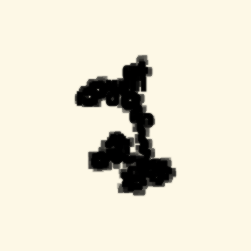 CC(C)[Si](OC(CCc1ccccc1)CC[C@@H]1[C@@H](CC=CCCCC(=O)OCc2ccc(C(CNC(=O)OC(C)(C)C)C(=O)Nc3ccc4cnccc4c3)cc2)[C@@H](O[Si](C(C)C)(C(C)C)C(C)C)C[C@H]1O[Si](C(C)C)(C(C)C)C(C)C)(C(C)C)C(C)C